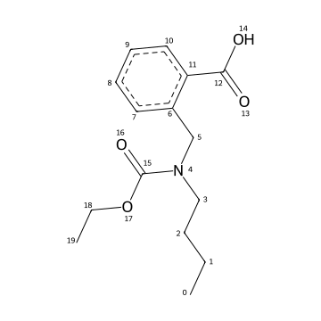 CCCCN(Cc1ccccc1C(=O)O)C(=O)OCC